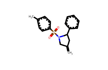 C=C1CC(c2ccccc2)N(S(=O)(=O)c2ccc(C)cc2)C1